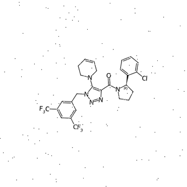 O=C(c1nnn(Cc2cc(C(F)(F)F)cc(C(F)(F)F)c2)c1N1CC=CCC1)N1CCC[C@@H]1c1ccccc1Cl